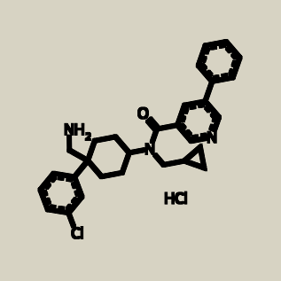 Cl.NCC1(c2cccc(Cl)c2)CCC(N(CC2CC2)C(=O)c2cncc(-c3ccccc3)c2)CC1